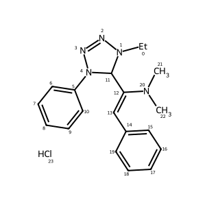 CCN1N=NN(c2ccccc2)C1C(=Cc1ccccc1)N(C)C.Cl